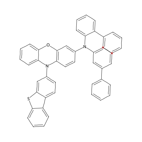 c1ccc(-c2cccc(N(c3ccc4c(c3)Oc3ccccc3N4c3ccc4c(c3)sc3ccccc34)c3ccccc3-c3ccccc3)c2)cc1